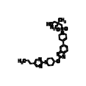 CCCc1cnc(N2CCC(Oc3nc4ccc(C5=CCN(S(=O)(=O)CC(C)(C)CO)CC5)cc4s3)CC2)nc1